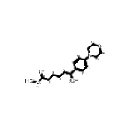 O=C(CCCCC(O)c1ccc(N2CCOCC2)cc1)NO